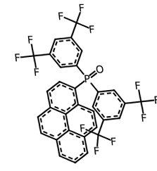 O=P(c1cc(C(F)(F)F)cc(C(F)(F)F)c1)(c1cc(C(F)(F)F)cc(C(F)(F)F)c1)c1ccc2ccc3cccc4ccc1c2c34